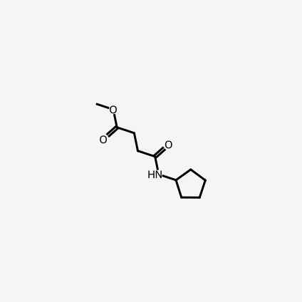 COC(=O)CCC(=O)NC1CCCC1